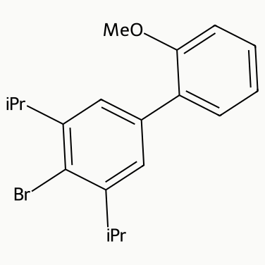 COc1ccccc1-c1cc(C(C)C)c(Br)c(C(C)C)c1